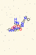 C[C@H]1CC[C@@H](CNc2ccc(SNC(=O)c3cnc(N4CCC5(CC4)CC(N4CCCC4c4ccccc4)C5)cc3Oc3cnc4[nH]ccc4c3)cc2[N+](=O)[O-])CC1